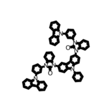 O=c1n(-c2cccc(-n3c4ccccc4c4ccccc43)c2)c2ccccc2n1-c1ccc2c(c1)c1cc(-n3c(=O)n(-c4cccc(-n5c6ccccc6c6ccccc65)c4)c4ccccc43)ccc1n2-c1ccccc1